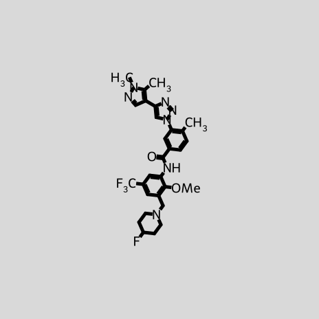 COc1c(CN2CCC(F)CC2)cc(C(F)(F)F)cc1NC(=O)c1ccc(C)c(-n2cc(-c3cnn(C)c3C)nn2)c1